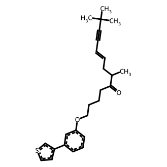 CC(CC=CC#CC(C)(C)C)C(=O)CCCCOc1cccc(-c2ccsc2)c1